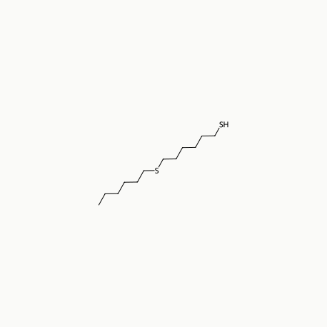 CCCCCCSCCCCCCS